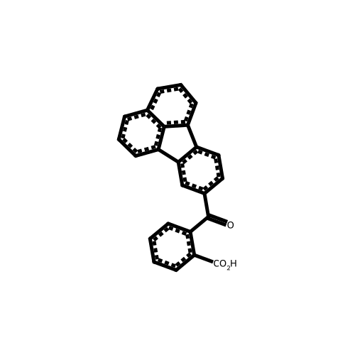 O=C(O)c1ccccc1C(=O)c1ccc2c(c1)-c1cccc3cccc-2c13